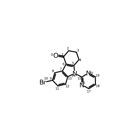 O=C1CCCc2c1c1cc(Br)ccc1n2-c1ncccn1